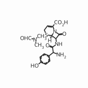 CN(C)C=O.NC(C(=O)NC1C(=O)N2C(C(=O)O)=CCS[C@@H]12)c1ccc(O)cc1